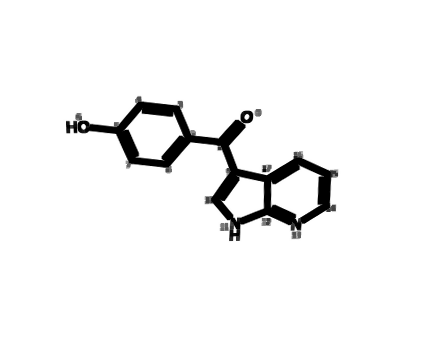 O=C(c1ccc(O)cc1)c1c[nH]c2ncccc12